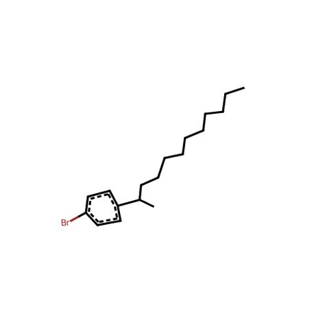 CCCCCCCCCCC(C)c1ccc(Br)cc1